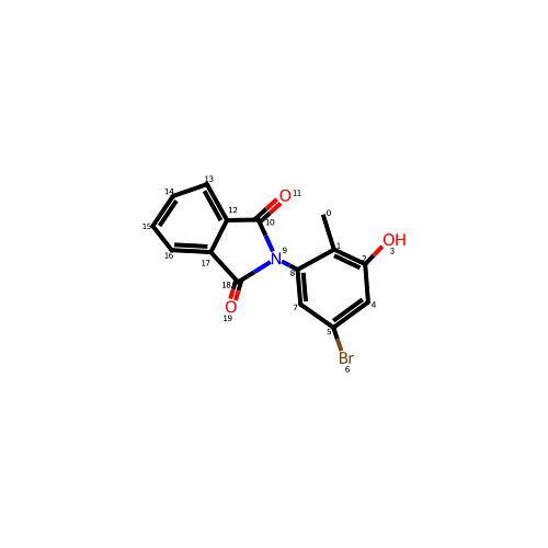 Cc1c(O)cc(Br)cc1N1C(=O)c2ccccc2C1=O